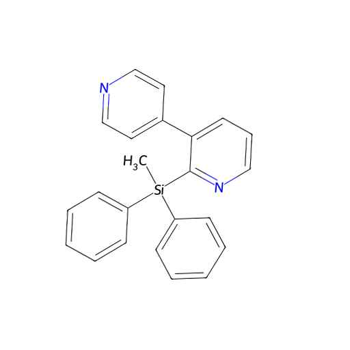 C[Si](c1ccccc1)(c1ccccc1)c1ncccc1-c1ccncc1